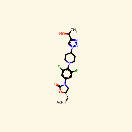 CC(=O)NC[C@H]1CN(c2cc(F)c(N3CCC(n4cc(C(C)O)nn4)CC3)c(F)c2)C(=O)O1